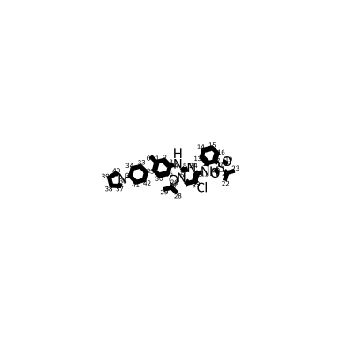 Cc1cc(Nc2ncc(Cl)c(Nc3ccccc3S(=O)(=O)C(C)C)n2)c(OC(C)C)cc1[C@H]1CC[C@@H](N2CCCC2)CC1